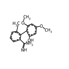 COc1cc(O)c(-c2c(C)[c]ccc2C(=N)N)c(OC)c1